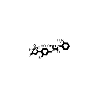 Nc1ccccc1NC(=O)[C@H](Cc1ccc(C2CC(=O)NS2(=O)=O)c(Br)c1)NC(=O)O